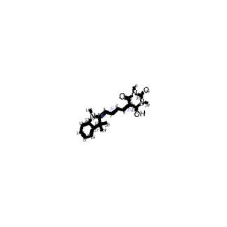 CN1C(=O)\C(=C/C=C/C=C2/N(C)c3ccccc3C2(C)C)C(O)N(C)C1=O